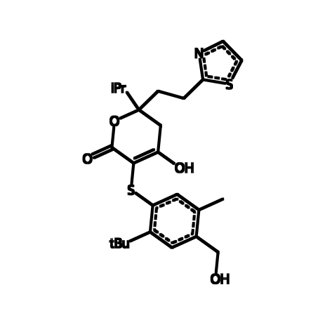 Cc1cc(SC2=C(O)CC(CCc3nccs3)(C(C)C)OC2=O)c(C(C)(C)C)cc1CO